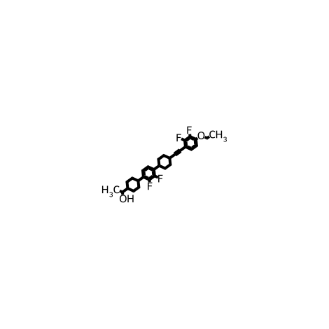 CCOc1ccc(C#CC2CCC(c3ccc(C4CCC(C(C)O)CC4)c(F)c3F)CC2)c(F)c1F